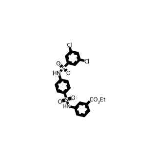 CCOC(=O)c1cccc(NS(=O)(=O)c2ccc(NS(=O)(=O)c3cc(Cl)cc(Cl)c3)cc2)c1